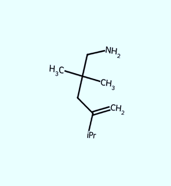 C=C(CC(C)(C)CN)C(C)C